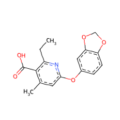 CCc1nc(Oc2ccc3c(c2)OCO3)cc(C)c1C(=O)O